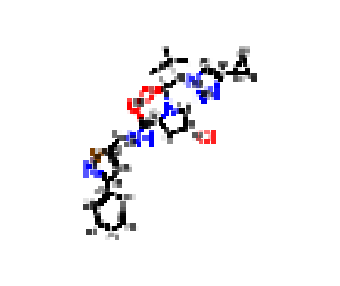 CC(C)(C)[C@@H](C(=O)N1C[C@H](O)C[C@H]1C(=O)NCc1cc(-c2ccccc2)ns1)n1cc(C2CC2)nn1